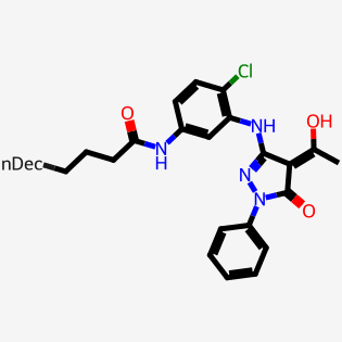 CCCCCCCCCCCCCC(=O)Nc1ccc(Cl)c(NC2=NN(c3ccccc3)C(=O)/C2=C(\C)O)c1